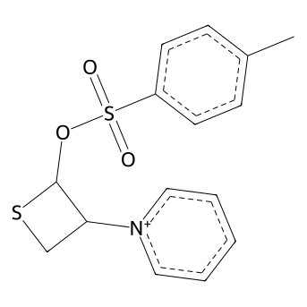 Cc1ccc(S(=O)(=O)OC2SCC2[n+]2ccccc2)cc1